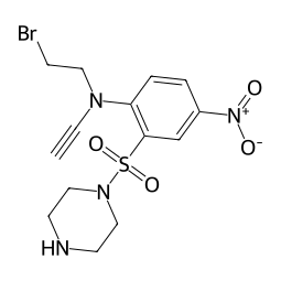 C#CN(CCBr)c1ccc([N+](=O)[O-])cc1S(=O)(=O)N1CCNCC1